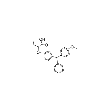 CCC(Oc1ccc(C(c2ccccc2)c2ccc(OC)cc2)cc1)C(=O)O